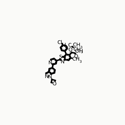 Cc1cc2nc(-c3ccnc(-c4ccc5c(cnn5C5COC5)c4)c3)sc2c(-c2ccc(Cl)cc2)c1[C@H](OC(C)(C)C)C(=O)O